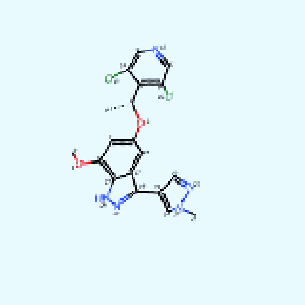 COc1cc(O[C@H](C)c2c(Cl)cncc2Cl)cc2c(-c3cnn(C)c3)n[nH]c12